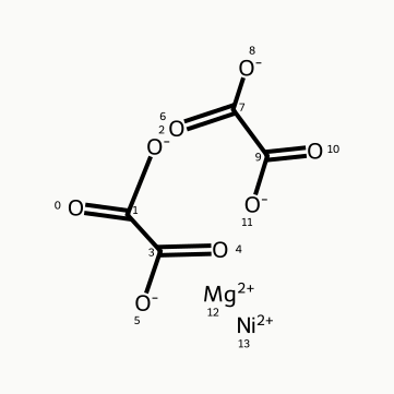 O=C([O-])C(=O)[O-].O=C([O-])C(=O)[O-].[Mg+2].[Ni+2]